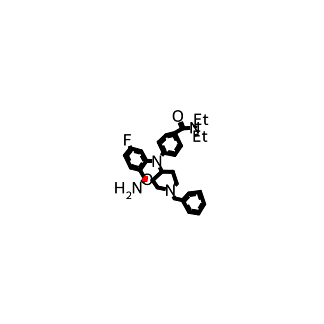 CCN(CC)C(=O)c1ccc(N(c2cc(F)ccc2C(N)=O)C2CCN(Cc3ccccc3)CC2)cc1